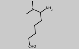 CN(C)C(N)CCCCC=O